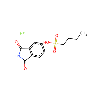 CCCCS(=O)(=O)O.F.O=C1NC(=O)c2ccccc21